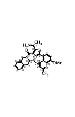 COc1ccc(-c2nc(C(=O)N3Cc4ccccc4C[C@H]3CO)c([C@H](C)N)o2)c2ccc(C(F)(F)F)nc12